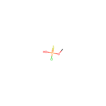 COP(O)(=S)Cl